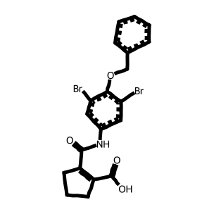 O=C(O)C1=C(C(=O)Nc2cc(Br)c(OCc3ccccc3)c(Br)c2)CCC1